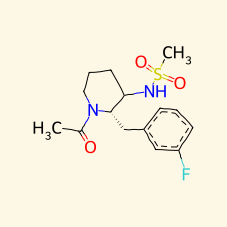 CC(=O)N1CCCC(NS(C)(=O)=O)[C@@H]1Cc1cccc(F)c1